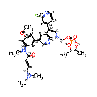 CCOP(=O)(OCC)OCn1cc(-c2ccnc(F)c2)c2cc(-c3cc(OC)cc(N(C)C(=O)/C=C/CN(C)C)c3)cnc21